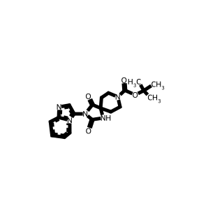 CC(C)(C)OC(=O)N1CCC2(CC1)NC(=O)N(c1cnc3ccccn13)C2=O